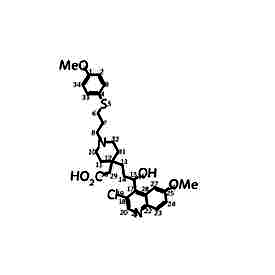 COc1ccc(SCCCN2CCC(CCC(O)c3c(Cl)cnc4ccc(OC)cc34)(CC(=O)O)CC2)cc1